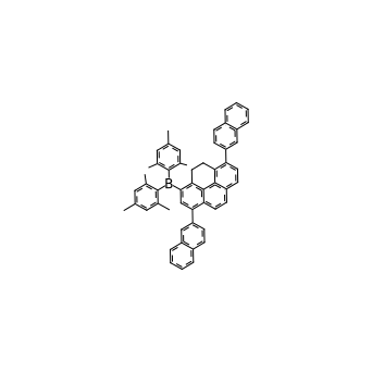 Cc1cc(C)c(B(c2cc(-c3ccc4ccccc4c3)c3ccc4ccc(-c5ccc6ccccc6c5)c5c4c3c2CC5)c2c(C)cc(C)cc2C)c(C)c1